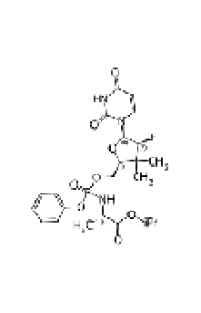 CC(C)OC(=O)[C@H](C)NP(=O)(OC[C@H]1O[C@@H](n2ccc(=O)[nH]c2=O)[C@@H](F)C1(C)C)Oc1ccccc1